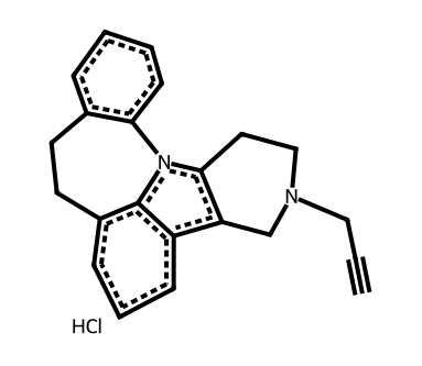 C#CCN1CCc2c(c3cccc4c3n2-c2ccccc2CC4)C1.Cl